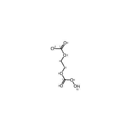 O=C(Cl)OCCOC(=O)OO